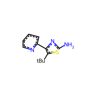 CC(C)(C)c1sc(N)nc1-c1ccccn1